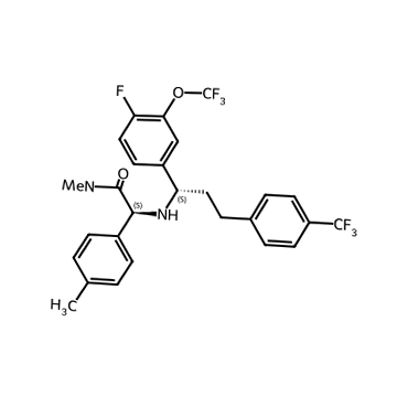 CNC(=O)[C@@H](N[C@@H](CCc1ccc(C(F)(F)F)cc1)c1ccc(F)c(OC(F)(F)F)c1)c1ccc(C)cc1